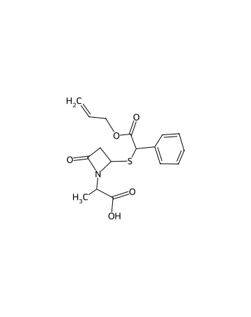 C=CCOC(=O)C(SC1CC(=O)N1C(C)C(=O)O)c1ccccc1